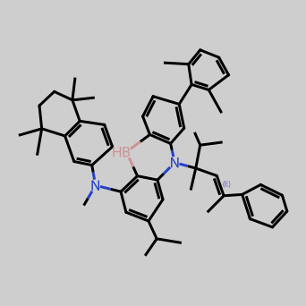 C/C(=C\C(C)(C(C)C)N1c2cc(-c3c(C)cccc3C)ccc2Bc2c(N(C)c3ccc4c(c3)C(C)(C)CCC4(C)C)cc(C(C)C)cc21)c1ccccc1